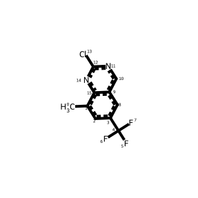 Cc1cc(C(F)(F)F)cc2cnc(Cl)nc12